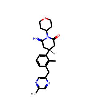 Cc1c(Cc2cnc(C(C)(C)C)cn2)cccc1[C@@]1(C)CC(=N)N(C2CCOCC2)C(=O)C1